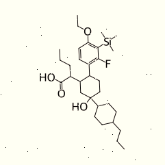 CCCC1CCC(C2(O)CCC(c3ccc(OCC)c([Si](C)(C)C)c3F)C(C(CCC)C(=O)O)C2)CC1